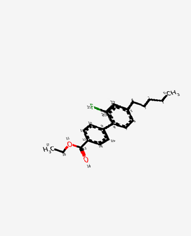 CCCCCc1ccc(-c2ccc(C(=O)OCC)cc2)c(F)c1